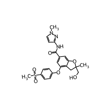 Cn1ccc(NC(=O)c2cc(Oc3ccc(S(C)(=O)=O)cc3)c3c(c2)OC(C)(CO)C3)n1